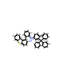 c1ccc(C2(c3ccccc3)c3ccccc3-c3ccc(Nc4ccccc4-c4cccc5sc6ccccc6c45)cc32)cc1